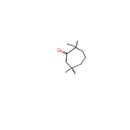 CC1(C)CCCC(C)(C)C(=O)C1